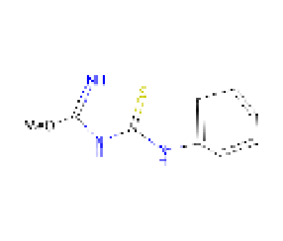 COC(=N)NC(=S)Nc1ccccc1